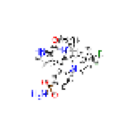 [2H]C([2H])([2H])n1cc(-c2cc(S(N)(=O)=O)ccc2N2CCC3(CC2)CC3(F)F)c2cc[nH]c2c1=O